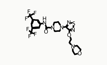 O=C(Nc1cc(C(F)(F)F)cc(C(F)(F)F)c1)N1CCN(c2nsnc2OCCN2CCOCC2)CC1